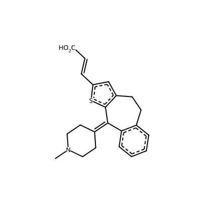 CN1CCC(=C2c3ccccc3CCc3cc(C=CC(=O)O)sc32)CC1